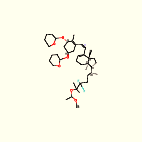 CCOC(C)OC(C)(C)C(F)(F)CC[C@@H](C)[C@H]1CC[C@H]2C(/C=C\C3=C(C)[C@@H](OC4CCCCO4)C[C@H](OC4CCCCO4)C3)=CCC[C@]12C